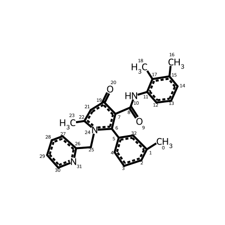 Cc1cccc(-c2c(C(=O)Nc3cccc(C)c3C)c(=O)cc(C)n2Cc2ccccn2)c1